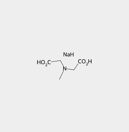 CN(CC(=O)O)CC(=O)O.[NaH]